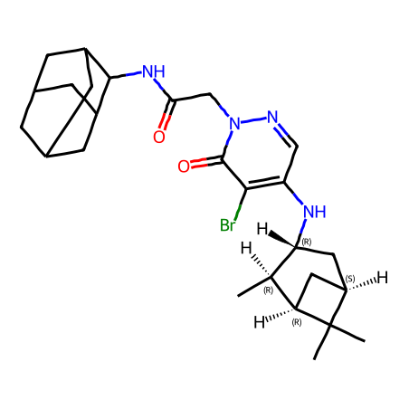 C[C@@H]1[C@H]2C[C@@H](C[C@H]1Nc1cnn(CC(=O)NC3C4CC5CC(C4)CC3C5)c(=O)c1Br)C2(C)C